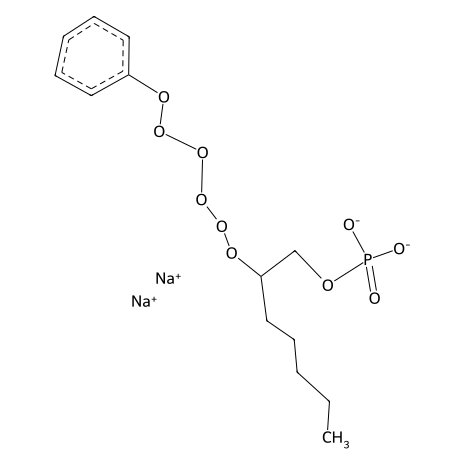 CCCCCC(COP(=O)([O-])[O-])OOOOOOc1ccccc1.[Na+].[Na+]